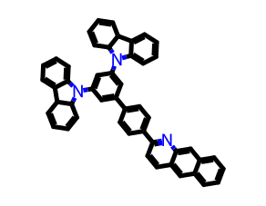 C1=CC2c3ccccc3N(c3cc(-c4ccc(-c5ccc6cc7ccccc7cc6n5)cc4)cc(N4c5ccccc5C5C=CC=CC54)c3)C2C=C1